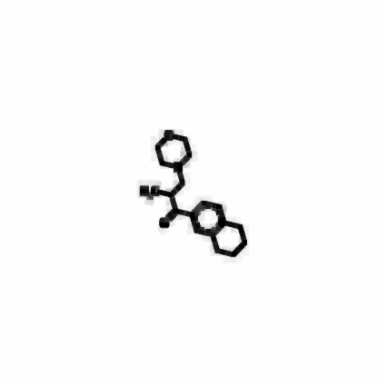 CC(CN1CCOCC1)C(=O)c1ccc2c(c1)CCCC2